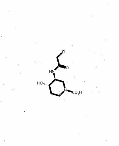 O=C(CCl)N[C@H]1CN(C(=O)O)CC[C@@H]1O